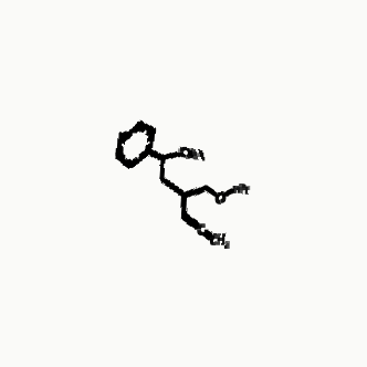 C=C=CC(COCCC)CC(O)c1ccccc1